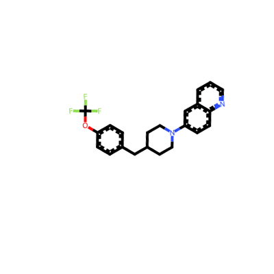 FC(F)(F)Oc1ccc(CC2CCN(c3ccc4ncccc4c3)CC2)cc1